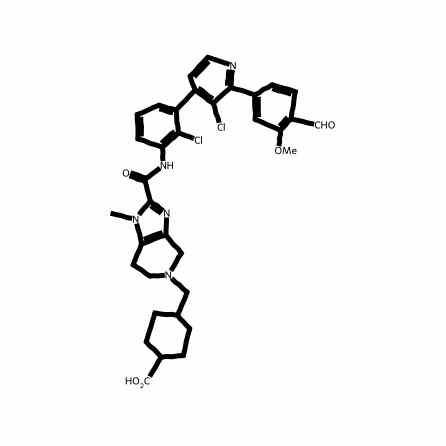 COc1cc(-c2nccc(-c3cccc(NC(=O)c4nc5c(n4C)CCN(CC4CCC(C(=O)O)CC4)C5)c3Cl)c2Cl)ccc1C=O